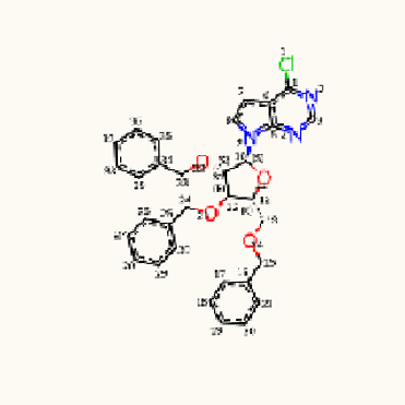 Clc1ncnc2c1ccn2[C@H]1O[C@H](COCc2ccccc2)[C@@H](OCc2ccccc2)[C@@H]1OCc1ccccc1